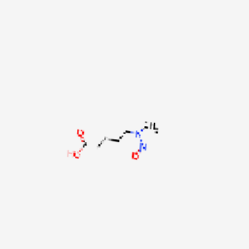 CN(CCCCC(=O)O)N=O